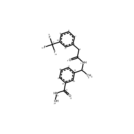 CC(NC(=O)Cc1cccc(C(F)(F)F)c1)c1cccc(C(=O)NO)c1